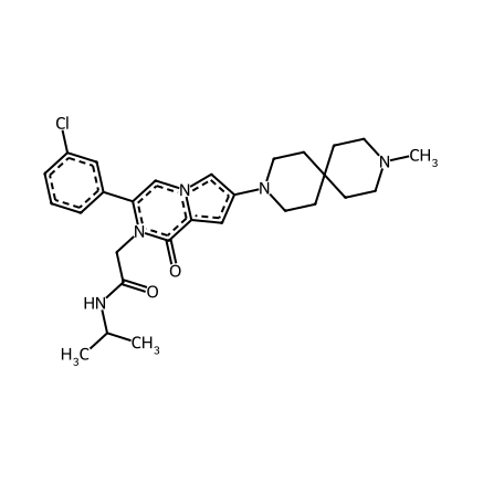 CC(C)NC(=O)Cn1c(-c2cccc(Cl)c2)cn2cc(N3CCC4(CCN(C)CC4)CC3)cc2c1=O